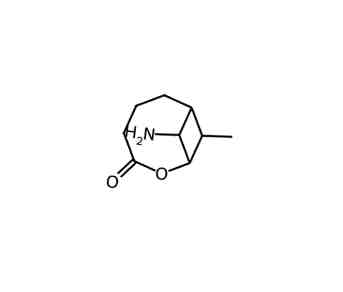 CC1C2CCCC(=O)OC1C2N